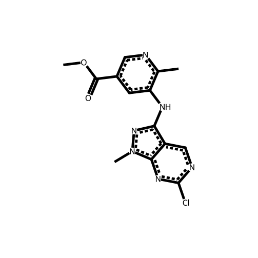 COC(=O)c1cnc(C)c(Nc2nn(C)c3nc(Cl)ncc23)c1